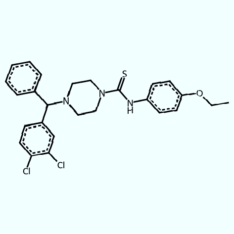 CCOc1ccc(NC(=S)N2CCN(C(c3ccccc3)c3ccc(Cl)c(Cl)c3)CC2)cc1